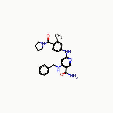 Cc1cc(Nc2cc(NCc3ccccc3)c(C(N)=O)cn2)ccc1C(=O)N1CCCC1